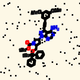 COc1cc(C#Cc2nn(C3CC(CO[Si](c4ccccc4)(c4ccccc4)C(C)(C)C)N(C(=O)OC(C)(C)C)C3)c3ncnc(N)c23)cc(OC)c1